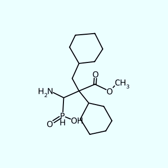 COC(=O)C(CC1CCCCC1)(C1CCCCC1)C(N)[PH](=O)O